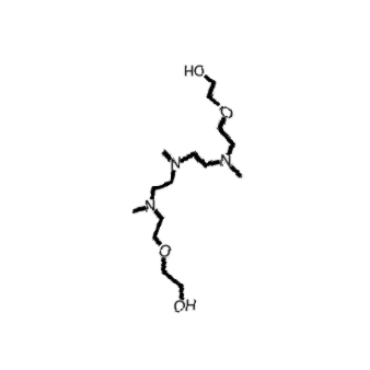 CN(CCOCCO)CCN(C)CCN(C)CCOCCO